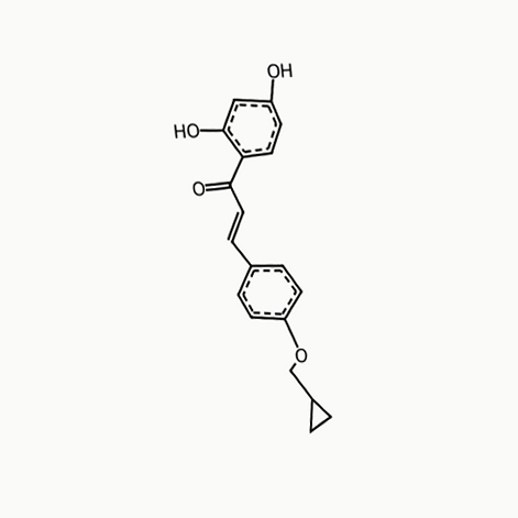 O=C(/C=C/c1ccc(OCC2CC2)cc1)c1ccc(O)cc1O